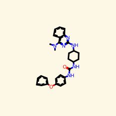 CN(C)c1nc(NC2CCC(NC(=O)Nc3ccc(Oc4ccccc4)cc3)CC2)nc2ccccc12